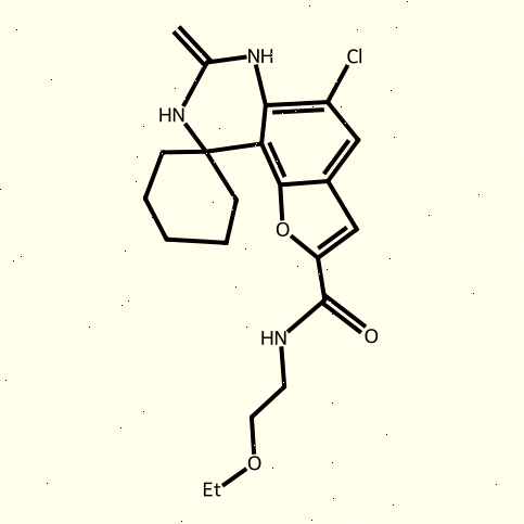 C=C1Nc2c(Cl)cc3cc(C(=O)NCCOCC)oc3c2C2(CCCCC2)N1